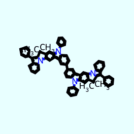 CC1(C)c2cc3c(cc2-n2c1c(-c1ccccc1)c1ccccc12)c1cc(-c2ccc4c(c2)c2cc5c(cc2n4-c2ccccc2)C(C)(C)c2c(-c4ccccc4)c4ccccc4n2-5)ccc1n3-c1ccccc1